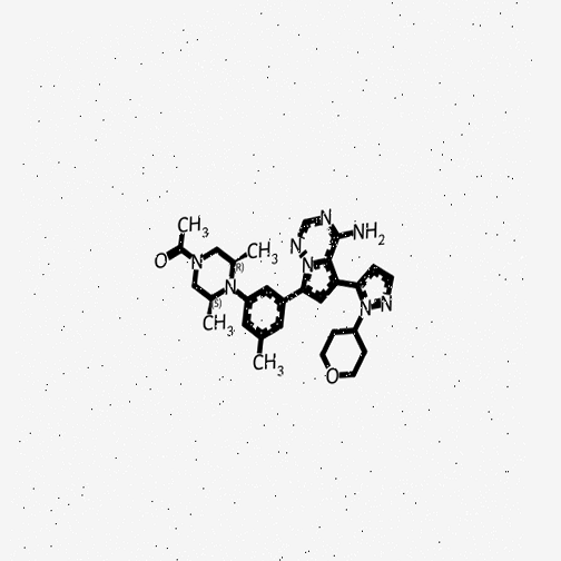 CC(=O)N1C[C@@H](C)N(c2cc(C)cc(-c3cc(-c4ccnn4C4CCOCC4)c4c(N)ncnn34)c2)[C@@H](C)C1